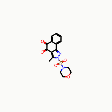 Cc1c2c(nn1S(=O)(=O)N1CCOCC1)-c1ccccc1C(=O)C2=O